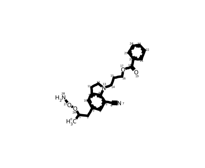 CC(Cc1cc(C#N)c2c(c1)CCN2CCCOC(=O)c1ccccc1)OON